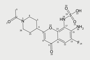 CC(=O)N1CCC(c2cc(=O)c3cc(F)c(N)c(NS(=O)(=O)O)c3o2)CC1